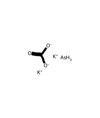 O=C([O-])[O-].[AsH3].[K+].[K+]